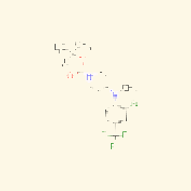 CN(c1ccc(C(F)(F)F)cc1Br)C1CCN(C(=O)OC(C)(C)C)CC1